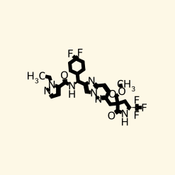 CCn1nccc1C(=O)N[C@H](c1cn2nc(CC3(C(=O)OC)C[C@H](C(F)(F)F)NC3=O)ccc2n1)C1CCC(F)(F)CC1